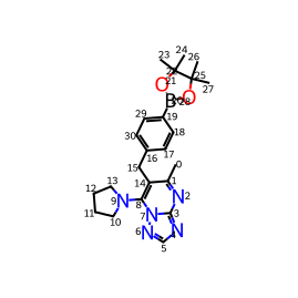 Cc1nc2ncnn2c(N2CCCC2)c1Cc1ccc(B2OC(C)(C)C(C)(C)O2)cc1